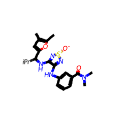 Cc1cc(C(Nc2n[s+]([O-])nc2Nc2cccc(C(=O)N(C)C)c2)C(C)C)oc1C